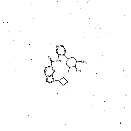 CC1CN(c2ccncc2NC(=O)c2ccc3ccn(C4CCC4)c3n2)CC(N)C1O